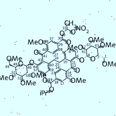 COC[C@@H]1O[C@H](Oc2cccc3c2C(=O)c2c(OC)cc(C(=O)OC(C)C)cc2[C@@H]3[C@H]2c3cc(C(=O)OC(C)O[N+](=O)[O-])cc(OC)c3C(=O)c3c(O[C@@H]4O[C@H](COC)[C@@H](OC)[C@H](OC)[C@H]4OC)cccc32)[C@@H](OC)[C@H](OC)[C@H]1OC